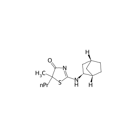 CCCC1(C)SC(N[C@H]2C[C@@H]3CC[C@H]2C3)=NC1=O